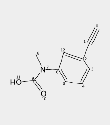 C#Cc1cccc(N(C)C(=O)O)c1